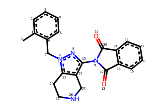 Cc1ccccc1Cn1nc(N2C(=O)c3ccccc3C2=O)c2c1CCNC2